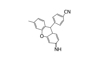 Cc1ccc2c(c1)OC1=CC(=N)C=CC1C2c1ccc(C#N)cc1